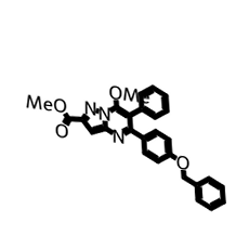 COC(=O)c1cc2nc(-c3ccc(OCc4ccccc4)cc3)c(-c3ccccc3)c(OC)n2n1